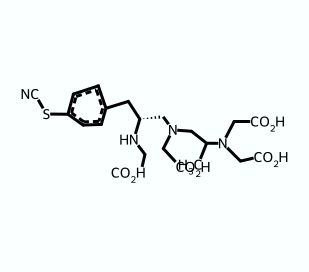 CC(CN(CC(=O)O)C[C@@H](Cc1ccc(SC#N)cc1)NCC(=O)O)N(CC(=O)O)CC(=O)O